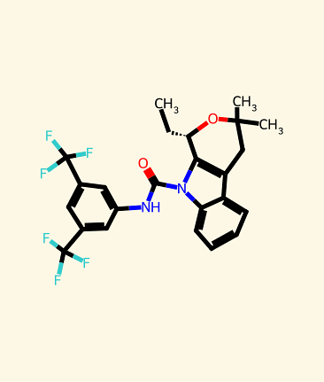 CC[C@@H]1OC(C)(C)Cc2c1n(C(=O)Nc1cc(C(F)(F)F)cc(C(F)(F)F)c1)c1ccccc21